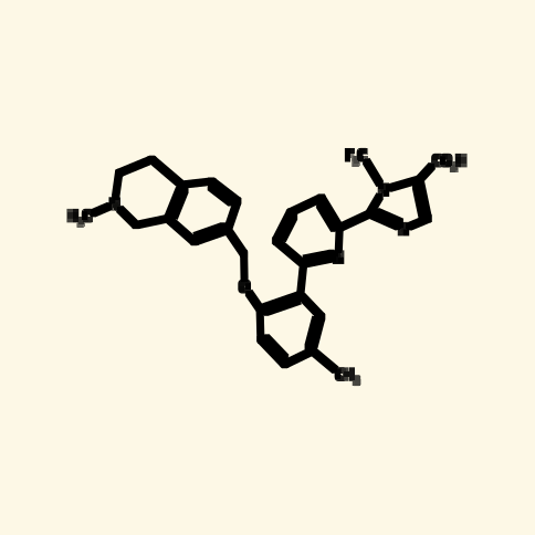 Cc1ccc(OCc2ccc3c(c2)CN(C)CC3)c(-c2cccc(-c3ncc(C(=O)O)n3C(F)(F)F)n2)c1